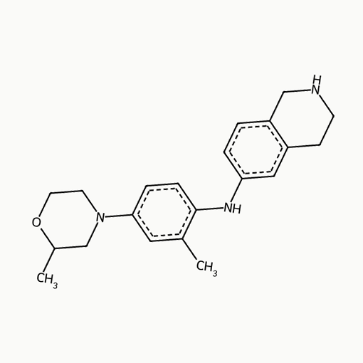 Cc1cc(N2CCOC(C)C2)ccc1Nc1ccc2c(c1)CCNC2